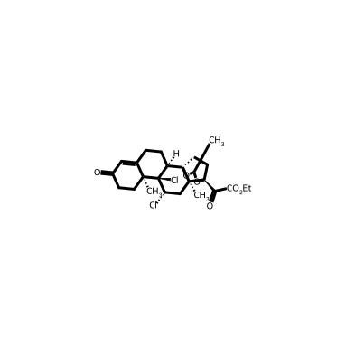 CCOC(=O)C(=O)[C@@]12CC[C@@]3(OC(C)O1)[C@@H]1CCC4=CC(=O)CC[C@]4(C)[C@@]1(Cl)[C@@H](Cl)C[C@]23C